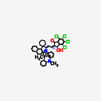 CN1c2ccccc2C(C)(C)c2c1cccc2N1/C(=C\C=C2/C(=O)c3c(Cl)c(Cl)c(Cl)c(Cl)c3C2O)C2(CCCCC2)c2c1ccc1ccccc21